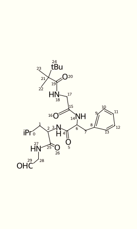 CC(C)CC(NC(=O)C(Cc1ccccc1)NC(=O)CNC(=O)C(C)(C)C(C)(C)C)C(=O)NCC=O